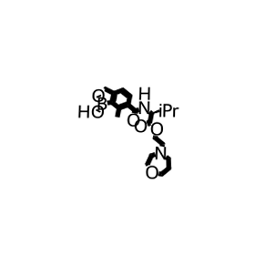 Cc1c(C(=O)N[C@H](C(=O)OCCN2CCCOCC2)C(C)C)ccc2c1B(O)OC2